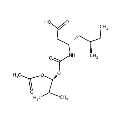 CC[C@@H](C)C[C@@H](CC(=O)O)NC(=O)O[C@H](OC(C)=O)C(C)C